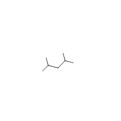 CCCCCCCCC([CH]C(CC)CCCCC)CCCC